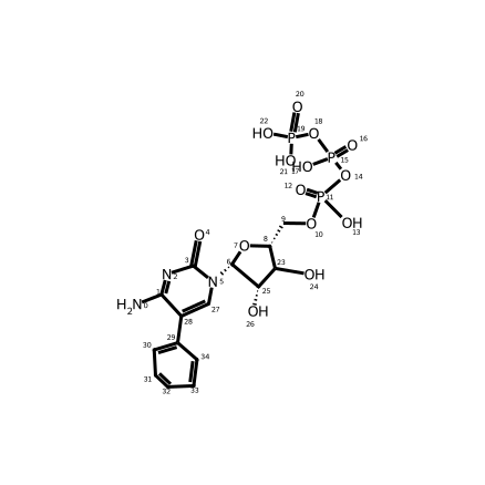 Nc1nc(=O)n([C@@H]2O[C@H](COP(=O)(O)OP(=O)(O)OP(=O)(O)O)C(O)[C@@H]2O)cc1-c1ccccc1